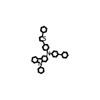 c1ccc(-c2ccc(N(c3ccc(-c4ccc(-c5ccccc5)s4)cc3)c3ccc4c(c3)c3ccccc3n4-c3ccccc3)cc2)cc1